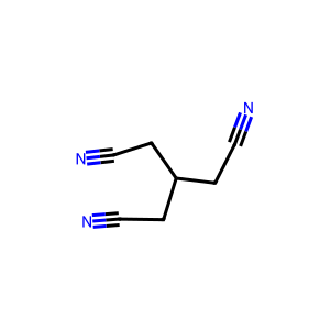 N#CCC(CC#N)CC#N